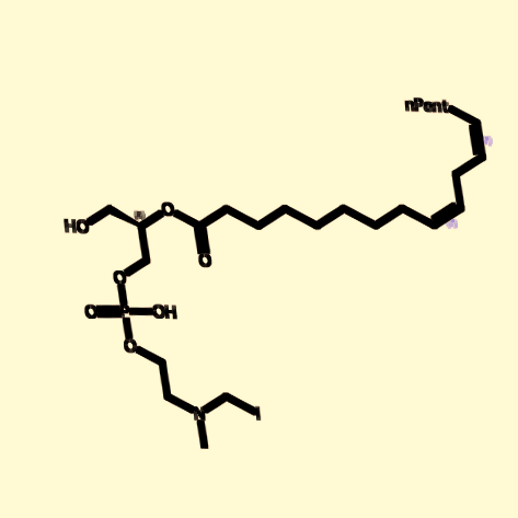 CCCCC/C=C\C/C=C\CCCCCCCC(=O)O[C@H](CO)COP(=O)(O)OCCN(C)CI